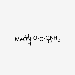 COC(=O)NCCOCCOCCOC(N)=O